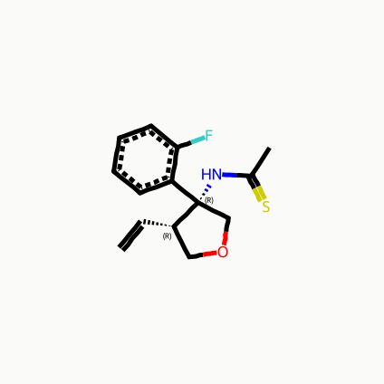 C=C[C@H]1COC[C@]1(NC(C)=S)c1ccccc1F